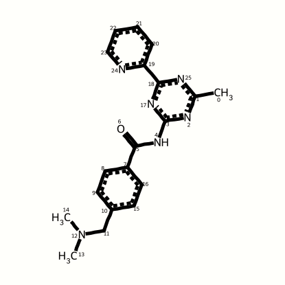 Cc1nc(NC(=O)c2ccc(CN(C)C)cc2)nc(-c2ccccn2)n1